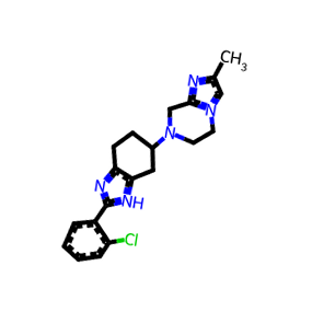 Cc1cn2c(n1)CN(C1CCc3nc(-c4ccccc4Cl)[nH]c3C1)CC2